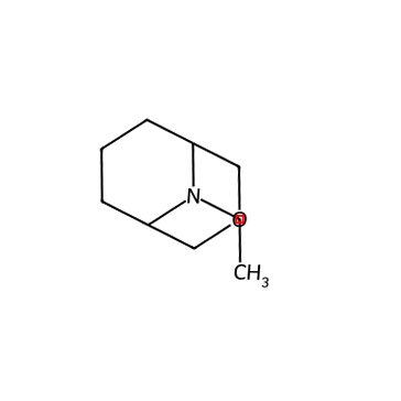 CCN1C2CCCC1COC2